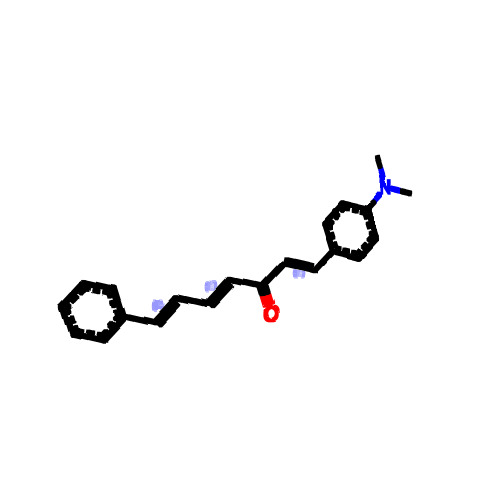 CN(C)c1ccc(/C=C/C(=O)/C=C/C=C/c2ccccc2)cc1